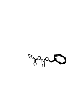 CCC(=O)ONOCc1ccccc1